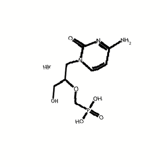 Br.Nc1ccn(CC(CO)OCP(=O)(O)O)c(=O)n1